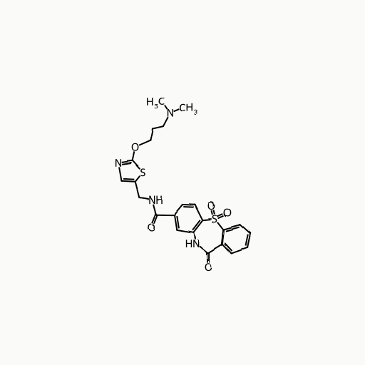 CN(C)CCCOc1ncc(CNC(=O)c2ccc3c(c2)NC(=O)c2ccccc2S3(=O)=O)s1